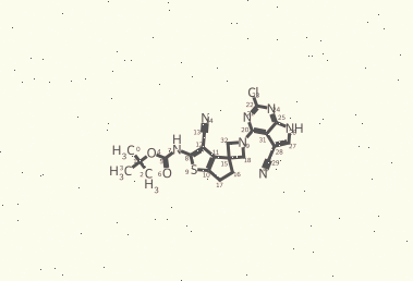 CC(C)(C)OC(=O)Nc1sc2c(c1C#N)C1(CC2)CN(c2nc(Cl)nc3[nH]cc(C#N)c23)C1